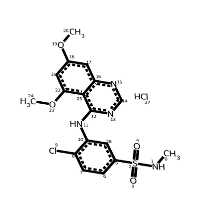 CNS(=O)(=O)c1ccc(Cl)c(Nc2ncnc3cc(OC)cc(OC)c23)c1.Cl